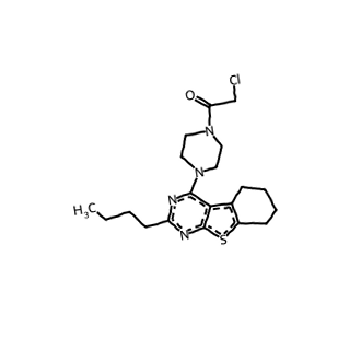 CCCCc1nc(N2CCN(C(=O)CCl)CC2)c2c3c(sc2n1)CCCC3